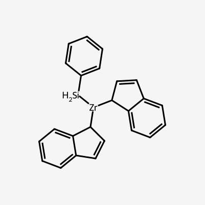 C1=C[CH]([Zr]([SiH2]c2ccccc2)[CH]2C=Cc3ccccc32)c2ccccc21